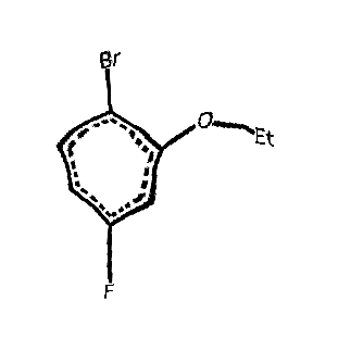 CCOc1cc(F)ccc1Br